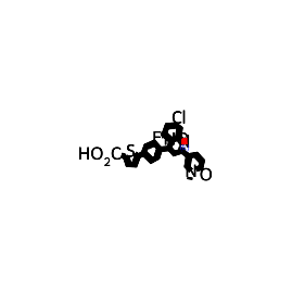 Cn1cc(/C(CC(c2ccc(-c3ccc(C(=O)O)s3)cc2)c2ccc(Cl)cc2F)=N/O)ccc1=O